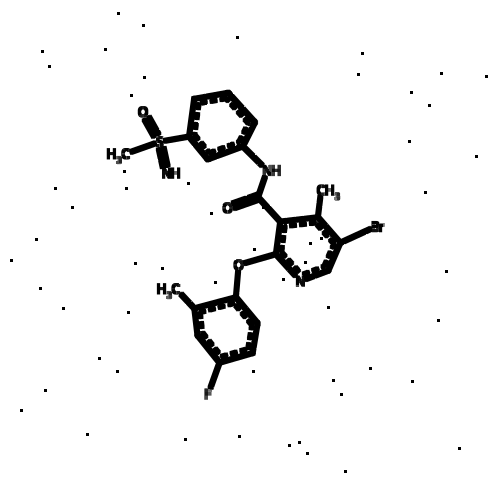 Cc1cc(F)ccc1Oc1ncc(Br)c(C)c1C(=O)Nc1cccc(S(C)(=N)=O)c1